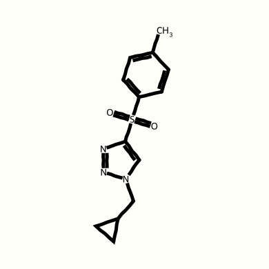 Cc1ccc(S(=O)(=O)c2cn(CC3CC3)nn2)cc1